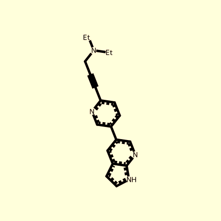 CCN(CC)CC#Cc1ccc(-c2cnc3[nH]ccc3c2)cn1